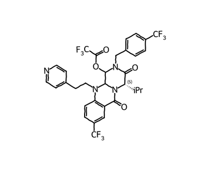 CC(C)[C@H]1C(=O)N(Cc2ccc(C(F)(F)F)cc2)C(OC(=O)C(F)(F)F)C2N(CCc3ccncc3)c3ccc(C(F)(F)F)cc3C(=O)N21